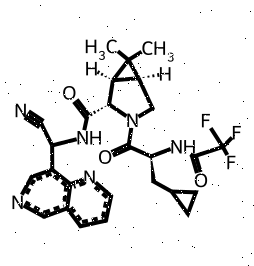 CC1(C)[C@@H]2[C@@H](C(=O)NC(C#N)c3cncc4cccnc34)N(C(=O)[C@H](CC3CC3)NC(=O)C(F)(F)F)C[C@@H]21